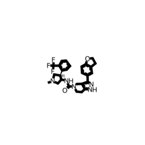 CN1CC(NC(=O)N2CCc3[nH]nc(-c4ccc5c(c4)CCO5)c3C2)[C@H](c2ccccc2C(F)(F)F)C1